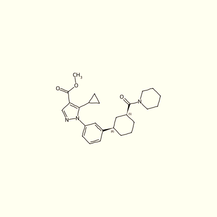 COC(=O)c1cnn(-c2cccc([C@@H]3CCC[C@H](C(=O)N4CCCCC4)C3)c2)c1C1CC1